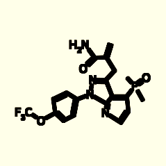 C=C(Cc1nn(-c2ccc(OC(F)(F)F)cc2)c2nccc(P(C)(C)=O)c12)C(N)=O